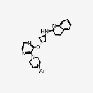 CC(=O)N1CCN(c2nccnc2O[C@H]2C[C@H](Nc3ccc4ccccc4n3)C2)CC1